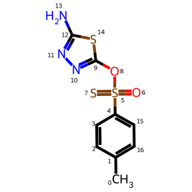 Cc1ccc(S(=O)(=S)Oc2nnc(N)s2)cc1